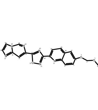 COCOc1ccc2nc(-c3noc(-c4cc5nccn5cn4)n3)ccc2c1